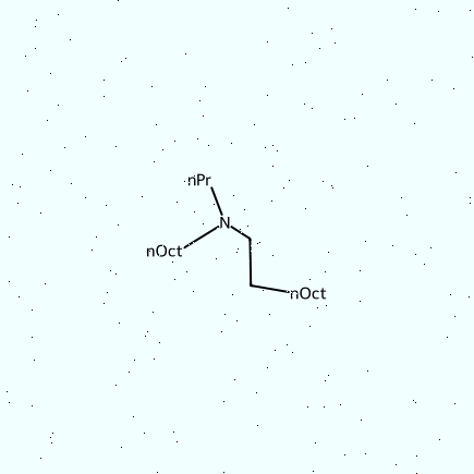 [CH2]CCN(CCCCCCCC)CCCCCCCCCC